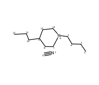 C#N.CCCCN1CCC(CCC)CC1